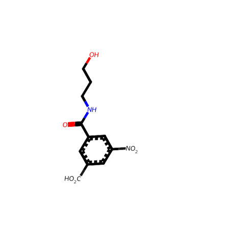 O=C(O)c1cc(C(=O)NCCCO)cc([N+](=O)[O-])c1